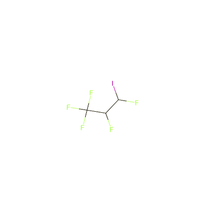 FC(I)C(F)C(F)(F)F